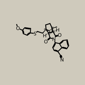 COc1ccc(SCC[C@@]23CC[C@@](C)(O2)[C@H]2C(=O)N(c4ccc(C#N)c5ccccc45)C(=O)[C@H]23)cc1